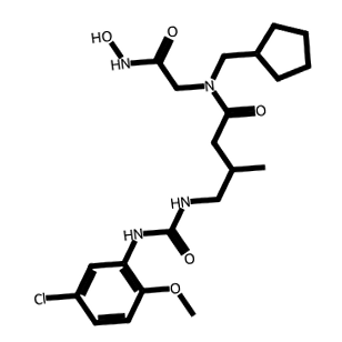 COc1ccc(Cl)cc1NC(=O)NCC(C)CC(=O)N(CC(=O)NO)CC1CCCC1